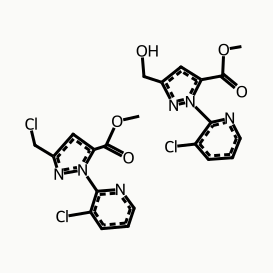 COC(=O)c1cc(CCl)nn1-c1ncccc1Cl.COC(=O)c1cc(CO)nn1-c1ncccc1Cl